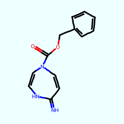 N=C1C=CN(C(=O)OCc2ccccc2)C=CN1